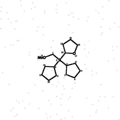 COC[Si](C1CCCC1)(C1CCCC1)C1CCCO1